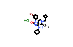 C[C@H]1C[C@]2(CCN1CC1CCC1)C(NC1CCCCC1)=NC(=O)N2c1cccc(Br)c1.Cl